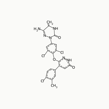 C=C1NC(=O)N(c2cc(Cl)c(Oc3n[nH]c(=O)cc3-c3ccc(Cl)c(C)c3)c(Cl)c2)N=C1N